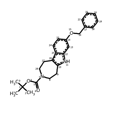 CC(C)(C)OC(=O)N1CCc2[nH]c3cc(OCc4ccccc4)ccc3c2CC1